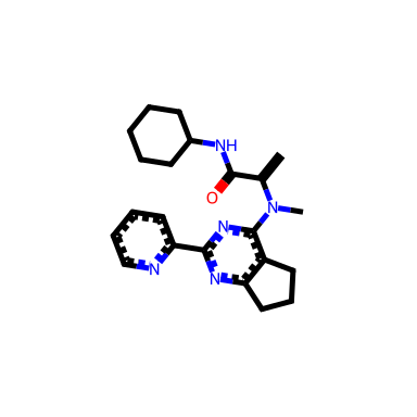 C=C(C(=O)NC1CCCCC1)N(C)c1nc(-c2ccccn2)nc2c1CCC2